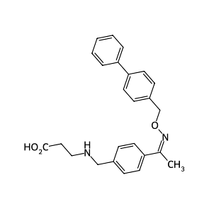 CC(=NOCc1ccc(-c2ccccc2)cc1)c1ccc(CNCCC(=O)O)cc1